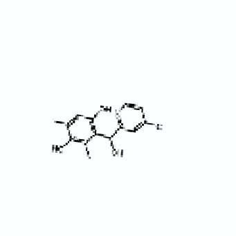 Cc1cc(O)c(C(O)c2cc(Cl)ccn2)c(C)c1O